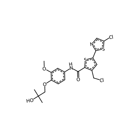 COc1cc(NC(=O)c2sc(-c3ncc(Cl)s3)cc2CCl)ccc1OCC(C)(C)O